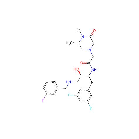 CCN1C(=O)CN(CC(=O)N[C@@H](Cc2cc(F)cc(F)c2)[C@H](O)CNCc2cccc(I)c2)C[C@H]1C